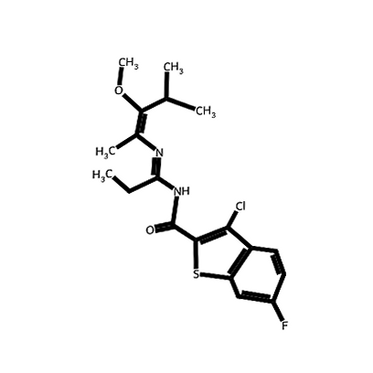 CC/C(=N\C(C)=C(\OC)C(C)C)NC(=O)c1sc2cc(F)ccc2c1Cl